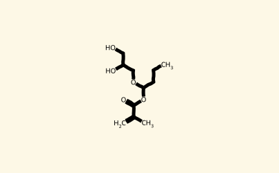 C=C(C)C(=O)OC(CCC)OCC(O)CO